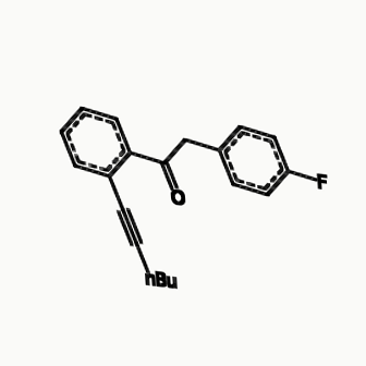 CCCCC#Cc1ccccc1C(=O)Cc1ccc(F)cc1